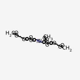 C=CC(=O)OCCCCCOc1ccc(C(=O)Oc2ccc(/C=N/N=C/c3ccc(OC(=O)c4ccc(OCCCCOC(=O)C=C)cc4)c(C(=O)OC)c3)cc2)cc1